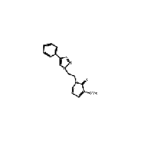 COc1cccn(CCn2cc(-c3ccccc3)nn2)c1=S